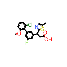 COc1cccc(Cl)c1-c1cc(F)cc(C(CC(=O)O)c2ncc(C)s2)c1